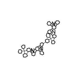 c1ccc(C2(c3ccccc3)c3ccccc3-c3c2ccc2c3c3cccc4c5c6c7ccccc7n7c8cc(-c9ccc(C%10(c%11ccccc%11)c%11ccccc%11-c%11ccc%12c(c%11%10)c%10cccc%11c%13c%14c%15ccccc%15n%15c%16ccccc%16c(cc%13n%12c%10%11)c%14%15)cc9)ccc8c(cc5n2c34)c67)cc1